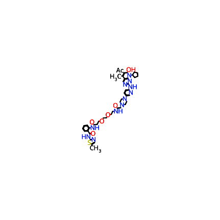 CC(=O)C1=C(C)c2cnc(Nc3ccc(N4CCN(CC(=O)NCCOCCOCCC(=O)Nc5ccccc5C(=O)Nc5ncc(C)s5)CC4)cn3)nc2N(C2CCCC2)C1O